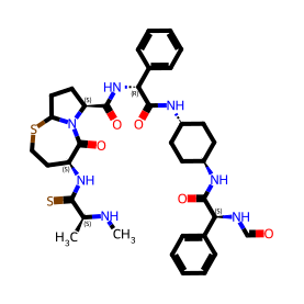 CN[C@@H](C)C(=S)N[C@H]1CCSC2CC[C@@H](C(=O)N[C@@H](C(=O)N[C@H]3CC[C@H](NC(=O)[C@@H](NC=O)c4ccccc4)CC3)c3ccccc3)N2C1=O